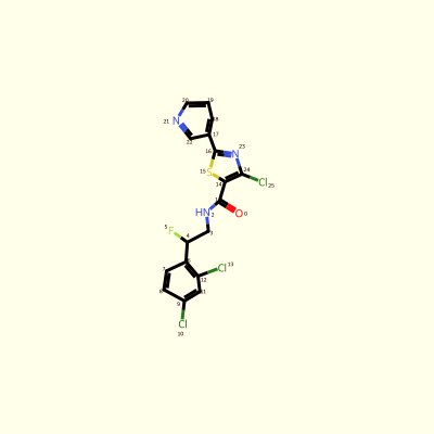 O=C(NCC(F)c1ccc(Cl)cc1Cl)c1sc(-c2cccnc2)nc1Cl